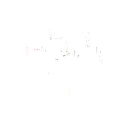 CNC(=[O+]C)N(C)C.F[B-](F)(F)F.O=C1CCC(=O)N1O